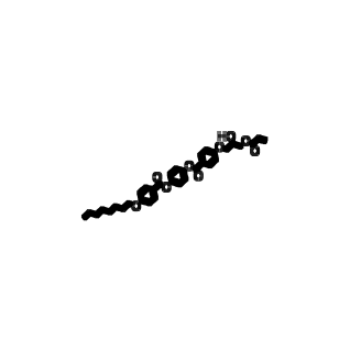 C=CC(=O)OCC(O)COc1ccc(C(=O)Oc2ccc(OC(=O)c3ccc(OCCCCCCCC)cc3)cc2)cc1